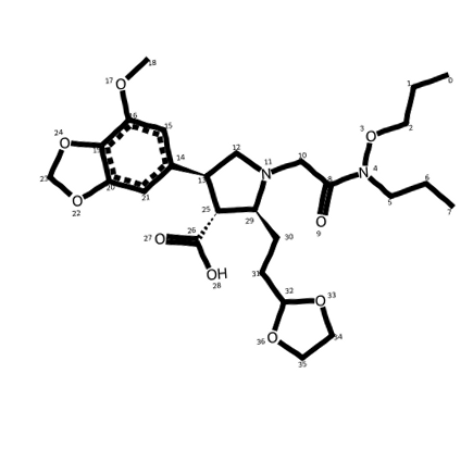 CCCON(CCC)C(=O)CN1C[C@H](c2cc(OC)c3c(c2)OCO3)[C@@H](C(=O)O)[C@@H]1CCC1OCCO1